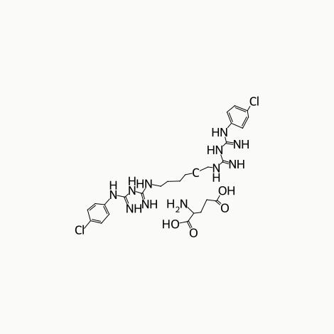 N=C(NCCCCCCNC(=N)NC(=N)Nc1ccc(Cl)cc1)NC(=N)Nc1ccc(Cl)cc1.NC(CCC(=O)O)C(=O)O